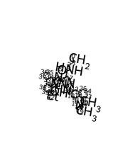 C=CCNC(=O)c1cnc(Nc2cc3c4c(c2)CN(C)CC4(C)CCC3)nc1Nc1nc2c(c3c1CCC3)CCC2(O)CC